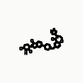 O=C1CCC(N2Cc3cc(C4CCN(Cc5ccc6c(c5)C(=O)N(c5cnsc5)CCO6)CC4)ccc3C2=O)C(=O)N1